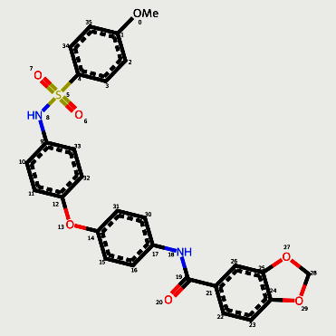 COc1ccc(S(=O)(=O)Nc2ccc(Oc3ccc(NC(=O)c4ccc5c(c4)OCO5)cc3)cc2)cc1